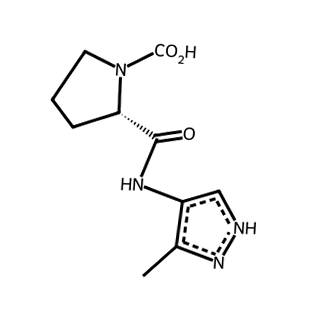 Cc1n[nH]cc1NC(=O)[C@@H]1CCCN1C(=O)O